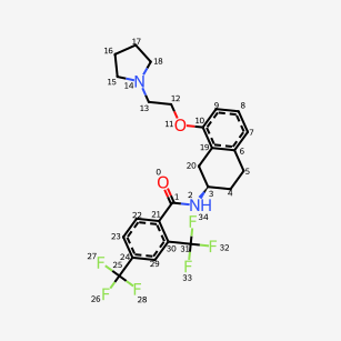 O=C(N[C@@H]1CCc2cccc(OCCN3CCCC3)c2C1)c1ccc(C(F)(F)F)cc1C(F)(F)F